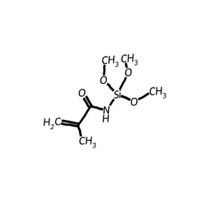 C=C(C)C(=O)N[Si](OC)(OC)OC